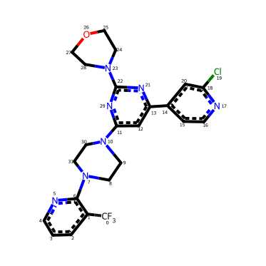 FC(F)(F)c1cccnc1N1CCN(c2cc(-c3ccnc(Cl)c3)nc(N3CCOCC3)n2)CC1